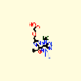 CC(C)(C)n1nc(-c2noc(C3CC3)c2-c2ncc(CCOCCC(=O)O)cn2)c2c(N)ncnc21.Cl